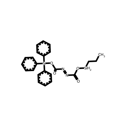 CCC[SiH2]OC(=O)N=NC(=O)O[Si](c1ccccc1)(c1ccccc1)c1ccccc1